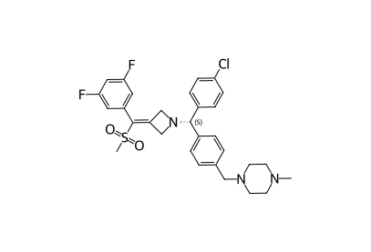 CN1CCN(Cc2ccc([C@@H](c3ccc(Cl)cc3)N3CC(=C(c4cc(F)cc(F)c4)S(C)(=O)=O)C3)cc2)CC1